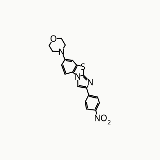 O=[N+]([O-])c1ccc(-c2cn3c(n2)sc2cc(N4CCOCC4)ccc23)cc1